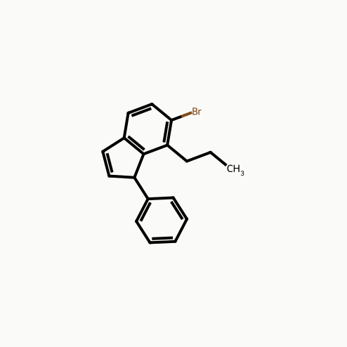 CCCc1c(Br)ccc2c1C(c1ccccc1)C=C2